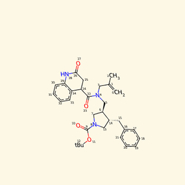 C=C(C)CN(C[C@@H]1CN(C(=O)OC(C)(C)C)C[C@H]1Cc1ccccc1)C(=O)C1CC(=O)Nc2ccccc21